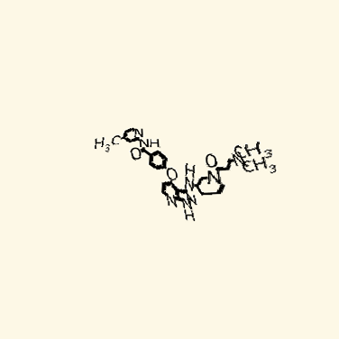 Cc1ccnc(NC(=O)c2ccc(Oc3ccnc4[nH]nc(NC5CCCN(C(=O)CCN(C)C)C5)c34)cc2)c1